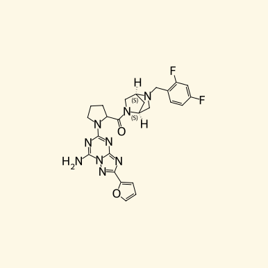 Nc1nc(N2CCCC2C(=O)N2C[C@@H]3C[C@H]2CN3Cc2ccc(F)cc2F)nc2nc(-c3ccco3)nn12